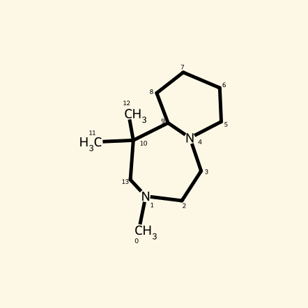 CN1CCN2CCCCC2C(C)(C)C1